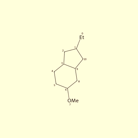 CCC1CC2CCC(OC)CC2C1